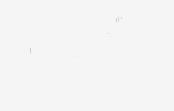 CC(C)Oc1ccccc1-c1ccc(C=O)o1